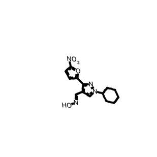 O=[N+]([O-])c1ccc(-c2nn(C3CCCCC3)cc2C=NO)o1